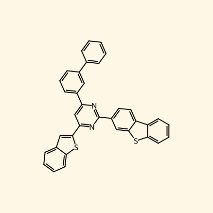 c1ccc(-c2cccc(-c3cc(-c4cc5ccccc5s4)nc(-c4ccc5c(c4)sc4ccccc45)n3)c2)cc1